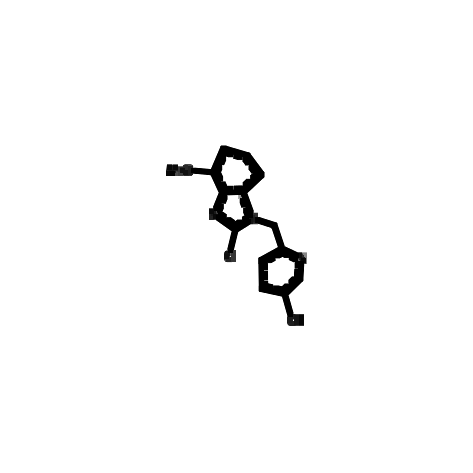 COc1cccc2c1nc(Cl)n2Cc1ccc(C#N)cn1